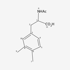 CC(=O)NC(Cc1ccc(C)c(C)c1)C(=O)O